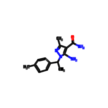 Cc1ccc(C(C)n2nc(C)c(C(N)=O)c2N)cc1